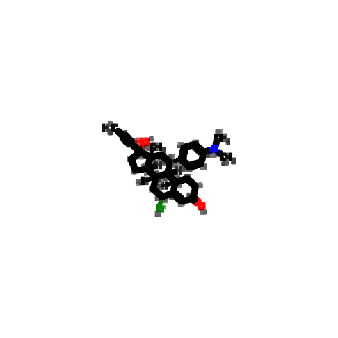 CC#C[C@]1(O)CC[C@H]2[C@@H]3C[C@@H](Br)C4=CC(=O)CC[C@@H]4[C@H]3[C@@H](c3ccc(N(C)C)cc3)C[C@@]21C